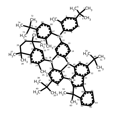 Cc1cc(C(C)(C)C)ccc1N(c1ccc2c(c1)N(c1cc3c(cc1C)C(C)(C)CCC3(C)C)c1cc(C(C)(C)C)cc3c1B2c1cc(C(C)(C)C)cc2c4c(n-3c12)C(C)(C)c1ccccc1-4)c1ccc(C(C)(C)C)cc1C